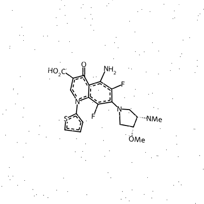 CN[C@H]1CN(c2c(F)c(N)c3c(=O)c(C(=O)O)cn(-c4cccs4)c3c2F)C[C@H]1OC